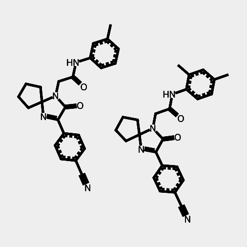 Cc1ccc(NC(=O)CN2C(=O)C(c3ccc(C#N)cc3)=NC23CCCC3)c(C)c1.Cc1cccc(NC(=O)CN2C(=O)C(c3ccc(C#N)cc3)=NC23CCCC3)c1